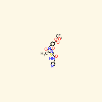 Cc1c(=O)n(Cc2ccc(C(=O)OC(=O)C(F)(F)F)cc2)c(=O)n2cc(C(=O)NCc3ccncc3)sc12